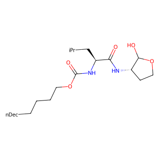 CCCCCCCCCCCCCCOC(=O)N[C@@H](CC(C)C)C(=O)N[C@H]1CCOC1O